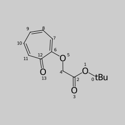 CC(C)(C)OC(=O)COc1cccccc1=O